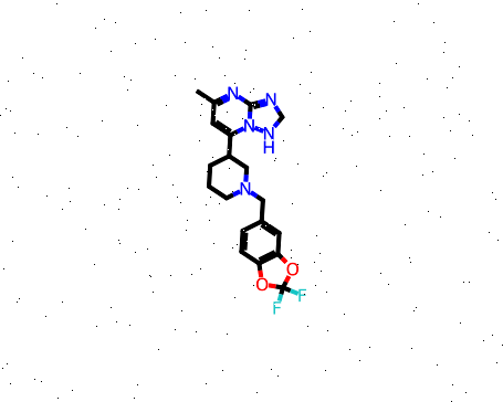 CC1=NC2=NCNN2C(C2CCCN(Cc3ccc4c(c3)OC(F)(F)O4)C2)=C1